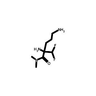 CN(C)C(=O)C(N)(CCCN)C(F)F